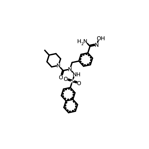 CC1CCN(C(=O)N(Cc2cccc(/C(N)=N/O)c2)NS(=O)(=O)c2ccc3ccccc3c2)CC1